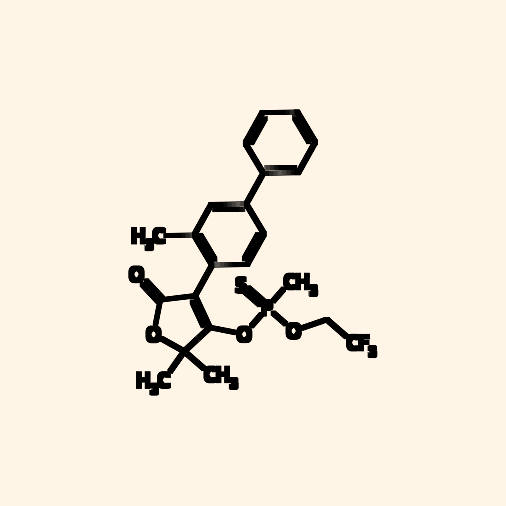 Cc1cc(-c2ccccc2)ccc1C1=C(OP(C)(=S)OCC(F)(F)F)C(C)(C)OC1=O